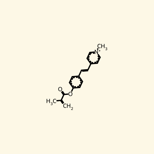 C=C(C)C(=O)Oc1ccc(C=Cc2cc[n+](C)cc2)cc1